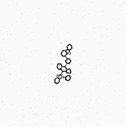 c1ccc(-n2c(-c3c4ccccc4c(-c4cccc(-c5cccc6c5oc5ccccc56)c4)c4ccccc34)nc3ccccc32)cc1